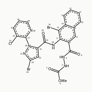 COC(=O)NNC(=O)c1cc2ccccc2c(Br)c1NC(=O)c1cc(Br)nn1-c1ncccc1Cl